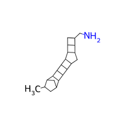 CC1CC2CC1C1C2C2C3C4CC5C6C(CN)CC6C5C4C3C12